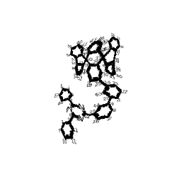 c1ccc(-c2nc(-c3ccccc3)nc(-c3cccc(-c4cccc(-c5ccc6c(c5)C5(c7ccccc7-c7ccccc75)c5ccccc5C65c6ccccc6-c6ccccc65)c4)c3)n2)cc1